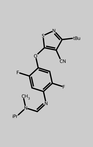 CC(C)N(C)/C=N\c1cc(F)c(Oc2snc(C(C)(C)C)c2C#N)cc1F